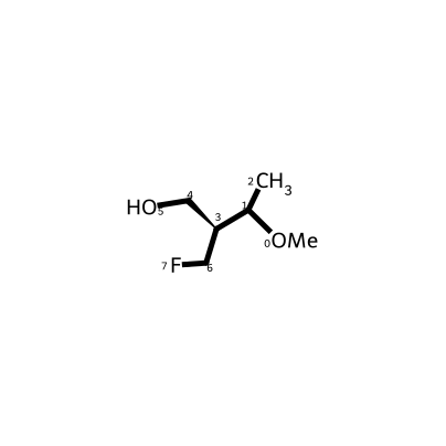 COC(C)[C@H](CO)CF